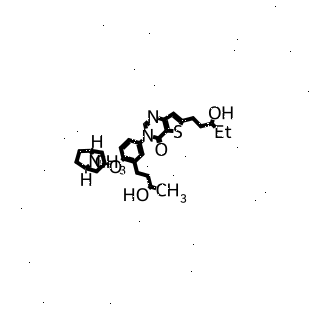 CCC(O)CCc1cc2ncn(-c3ccc(O[C@H]4C[C@H]5CC[C@@H](C4)N5C)c(CCC(C)O)c3)c(=O)c2s1